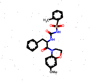 COc1ccc2c(c1)OCCN2C(=O)C(Cc1ccccc1)NC(=O)NS(=O)(=O)c1ccccc1C